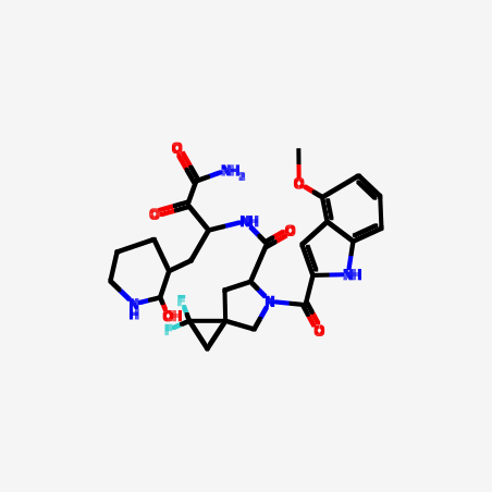 COc1cccc2[nH]c(C(=O)N3CC4(CC3C(=O)NC(CC3CCCNC3O)C(=O)C(N)=O)CC4(F)F)cc12